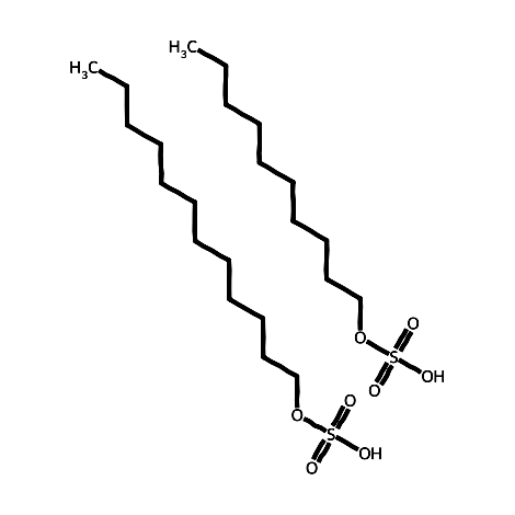 CCCCCCCCCCCCOS(=O)(=O)O.CCCCCCCCCCOS(=O)(=O)O